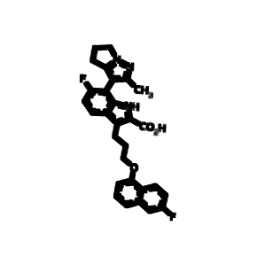 Cc1nn2c(c1-c1c(F)ccc3c(CCCOc4cccc5cc(F)ccc45)c(C(=O)O)[nH]c13)CCC2